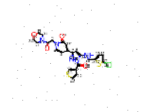 O=C(Cn1ccc(-c2cc(NCc3ccc(Cl)s3)n(C(=O)c3ccsc3)n2)cc1=O)N1CCOCC1